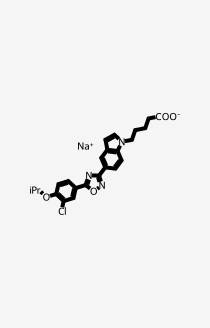 CC(C)Oc1ccc(-c2nc(-c3ccc4c(ccn4CCCCC(=O)[O-])c3)no2)cc1Cl.[Na+]